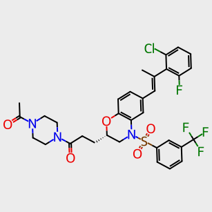 CC(=O)N1CCN(C(=O)CC[C@H]2CN(S(=O)(=O)c3cccc(C(F)(F)F)c3)c3cc(/C=C(\C)c4c(F)cccc4Cl)ccc3O2)CC1